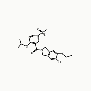 CCSc1cc2c(cc1Cl)CN(C(=O)c1cc(S(C)(=O)=O)ccc1OC(C)C)C2